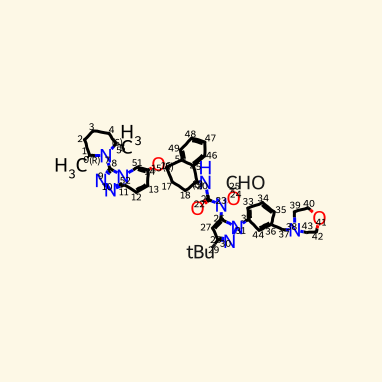 C[C@@H]1CCC[C@H](C)N1c1nnc2ccc(O[C@@H]3CC[C@H](NC(=O)N(OC=O)c4cc(C(C)(C)C)nn4-c4cccc(CN5CCOCC5)c4)c4ccccc43)cn12